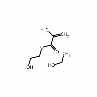 C=C(C)C(=O)OCCO.CCO